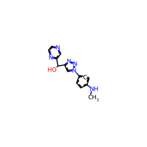 CNc1ccc(-n2cc(C(O)c3cnccn3)nn2)cc1